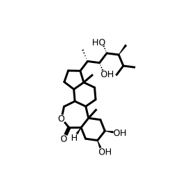 CC(C)[C@H](C)[C@@H](O)[C@H](O)[C@@H](C)C1CCC2C3COC(=O)[C@H]4C[C@H](O)[C@H](O)CC4(C)C3CCC21C